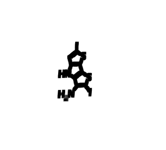 Cc1cc2[nH]c3c(N)c(I)sc3c2s1